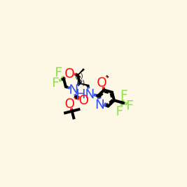 COc1cc(C(F)(F)F)cnc1NC[C@@H]1[C@H](C)OC(F)(F)CN1C(=O)OC(C)(C)C